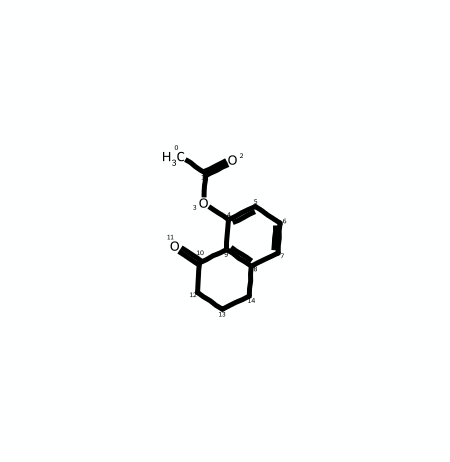 CC(=O)Oc1cccc2c1C(=O)CCC2